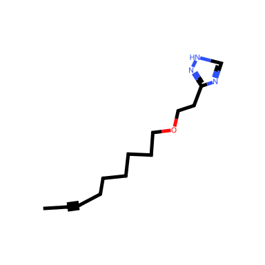 CC#CCCCCCCOCCc1nc[nH]n1